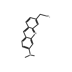 CN(C)c1ccc2cc3ccc(CN)cc3nc2c1